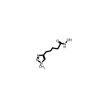 Cn1cc(CCCCC(=O)NO)nn1